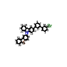 Brc1cccc(-c2cccc(-c3ccc4c(c3)c3ccccc3n4-c3ccc4sc5ccccc5c4c3)c2)c1